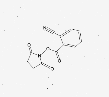 N#Cc1ccccc1C(=O)ON1C(=O)CCC1=O